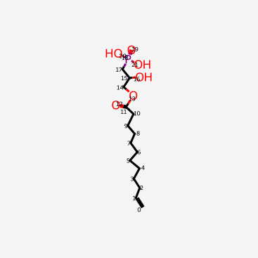 C=CCCCCCCCCCC(=O)OCC(O)CP(=O)(O)O